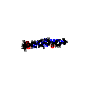 C[C@H]1CN(c2ccc(B3OC(C)(C)C(C)(C)O3)cn2)CCN1c1ncc(NC(=O)c2ccc(N3CCC3)nc2)cn1